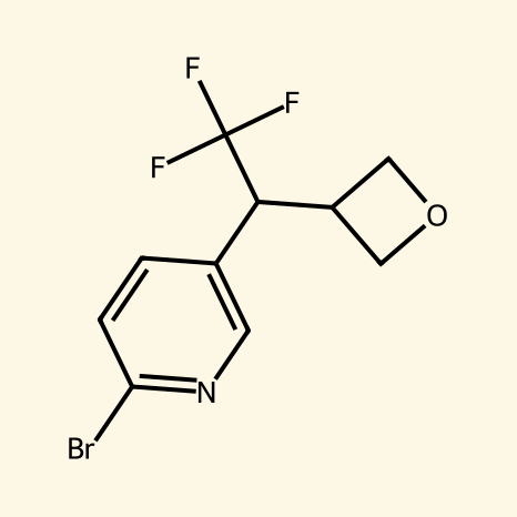 FC(F)(F)C(c1ccc(Br)nc1)C1COC1